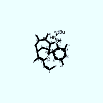 C/C=C\C1=C(C)C2CC(C)C(C)C(S(C)(NC(C)(C)C)c3c(C)cc(C)cc3C)C(C2)S1